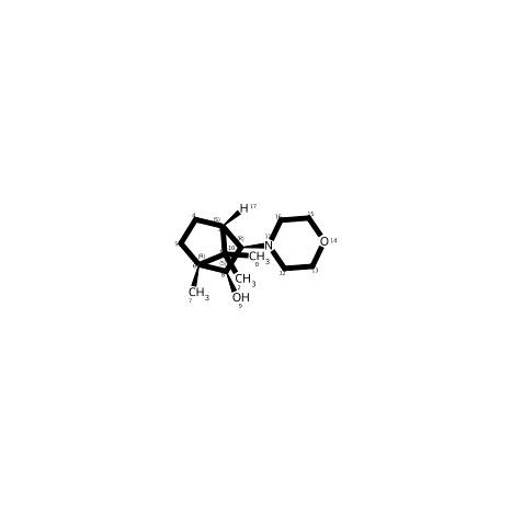 CC1(C)[C@@H]2CC[C@@]1(C)[C@H](O)[C@@H]2N1CCOCC1